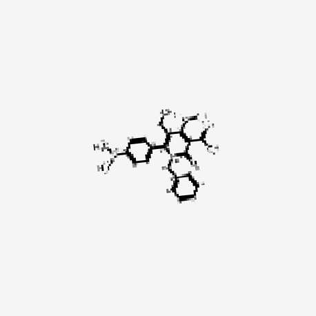 CCc1c(OC)c(C(=O)O)c(=O)n(Cc2ccccc2)c1-c1ccc(N(C)C)cc1